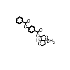 B[C@@]12CCO[C@@H]1C(OC(=O)c1ccc(OC(=O)c3ccccc3)cc1)CO2